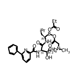 CCC(=O)OB(OC(=O)CN(C)C)[C@H](CC(C)C)NC(=O)[C@@H](NC(=O)c1cccc(-c2ccccc2)n1)[C@@H](C)O